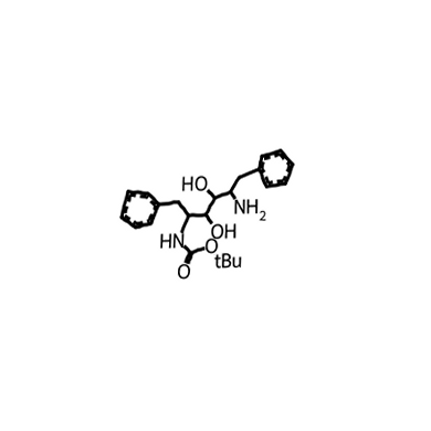 CC(C)(C)OC(=O)NC(Cc1ccccc1)C(O)C(O)C(N)Cc1ccccc1